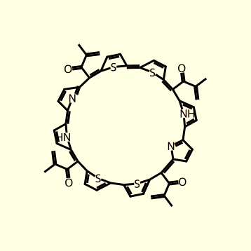 C=C(C)C(=O)c1c2nc(c3ccc([nH]3)c(C(=O)C(=C)C)c3ccc(s3)c3ccc(s3)c(C(=O)C(=C)C)c3nc(c4ccc([nH]4)c(C(=O)C(=C)C)c4ccc(s4)c4ccc1s4)C=C3)C=C2